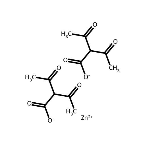 CC(=O)C(C(C)=O)C(=O)[O-].CC(=O)C(C(C)=O)C(=O)[O-].[Zn+2]